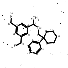 C[C@@H](OCC1(c2ccccc2)CCCCC1)c1cc(CF)cc(CF)c1